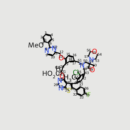 COc1ccccc1-c1nccc(COc2ccc3cc2C[C@H](C(=O)O)Oc2ncnc4sc(-c5ccc(F)cc5)c(c24)-c2ccc(c(Cl)c2C)CN(CC2(N4CCOCC4)COC2)C3)n1